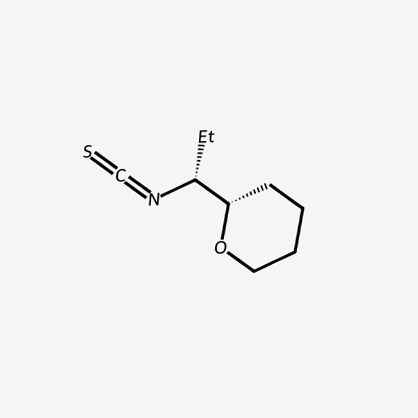 CC[C@@H](N=C=S)[C@@H]1CCCCO1